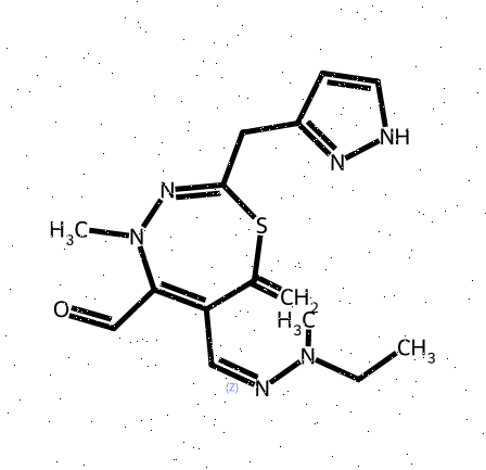 C=C1SC(Cc2cc[nH]n2)=NN(C)C(C=O)=C1/C=N\N(C)CC